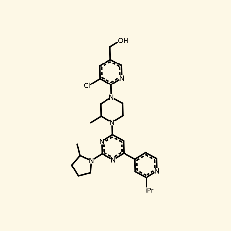 CC(C)c1cc(-c2cc(N3CCN(c4ncc(CO)cc4Cl)CC3C)nc(N3CCCC3C)n2)ccn1